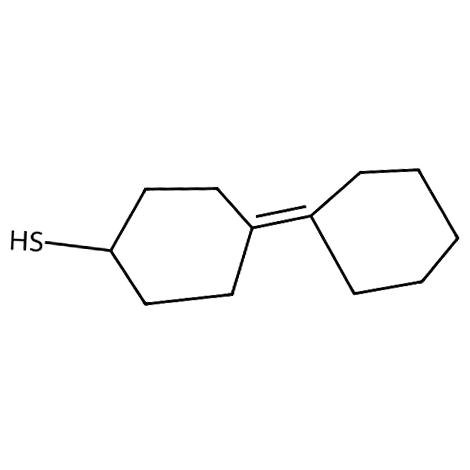 SC1CCC(=C2CCCCC2)CC1